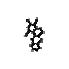 O=C1C(Cl)=CC(=O)c2c(Sc3ccccc3Br)cccc21